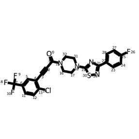 O=C(C#Cc1cc(C(F)(F)F)ccc1Cl)N1CCN(c2nc(-c3ccc(F)cc3)ns2)CC1